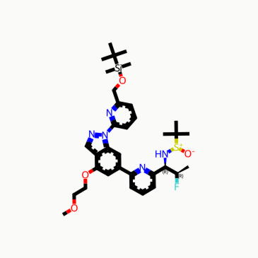 COCCOc1cc(-c2cccc([C@@H](N[S+]([O-])C(C)(C)C)[C@@H](C)F)n2)cc2c1cnn2-c1cccc(CO[Si](C)(C)C(C)(C)C)n1